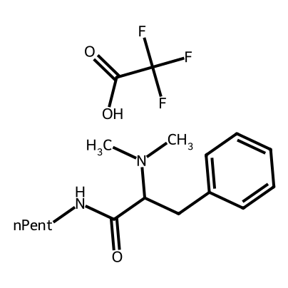 CCCCCNC(=O)C(Cc1ccccc1)N(C)C.O=C(O)C(F)(F)F